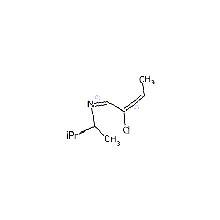 C/C=C(Cl)\C=N/C(C)C(C)C